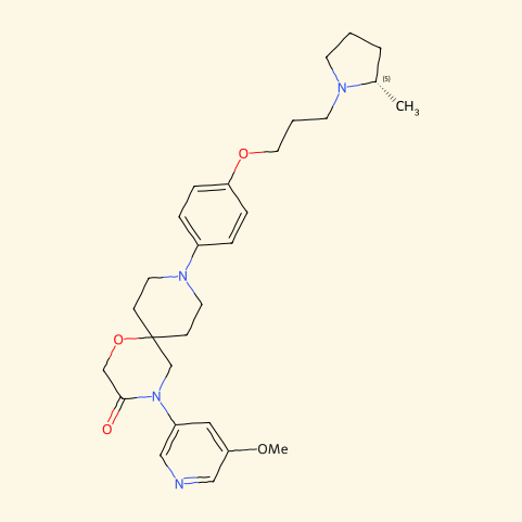 COc1cncc(N2CC3(CCN(c4ccc(OCCCN5CCC[C@@H]5C)cc4)CC3)OCC2=O)c1